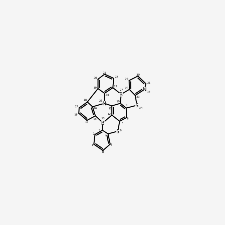 c1ccc2c(c1)Sc1cc3c4c5c1B2c1cccc2c6cccc(c6n-5c12)B4c1cccnc1S3